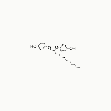 CCCCCCCCCCC(COc1ccc(O)cc1)Oc1ccc(O)cc1